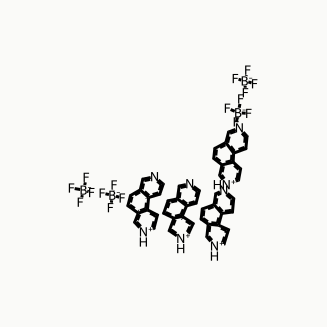 F[B-](F)(F)F.F[B-](F)(F)F.F[B-](F)(F)F.F[B-](F)(F)F.c1cc2c(ccc3c[nH+]ccc32)cn1.c1cc2c(ccc3c[nH+]ccc32)cn1.c1cc2c(ccc3c[nH+]ccc32)cn1.c1cc2c(ccc3c[nH+]ccc32)cn1